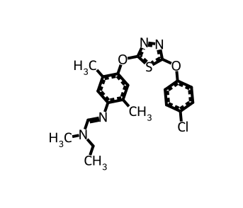 CCN(C)/C=N/c1cc(C)c(Oc2nnc(Oc3ccc(Cl)cc3)s2)cc1C